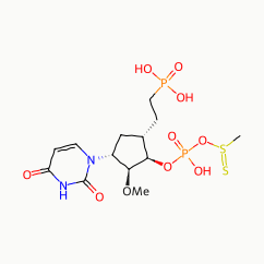 CO[C@@H]1[C@H](OP(=O)(O)OS(C)=S)[C@@H](CCP(=O)(O)O)C[C@H]1n1ccc(=O)[nH]c1=O